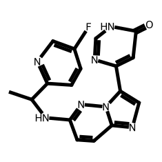 CC(Nc1ccc2ncc(-c3cc(=O)[nH]cn3)n2n1)c1ccc(F)cn1